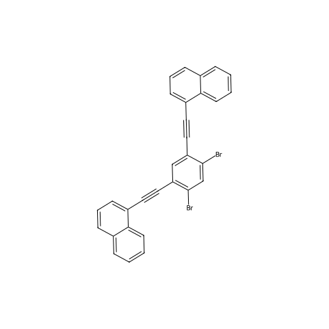 Brc1cc(Br)c(C#Cc2cccc3ccccc23)cc1C#Cc1cccc2ccccc12